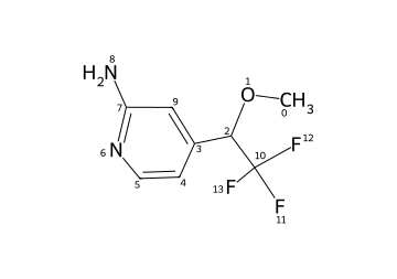 COC(c1ccnc(N)c1)C(F)(F)F